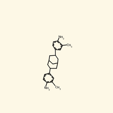 Cc1cc(C2CC3CC(C2)CC(c2ccc(N)c(C)c2)C3)ccc1N